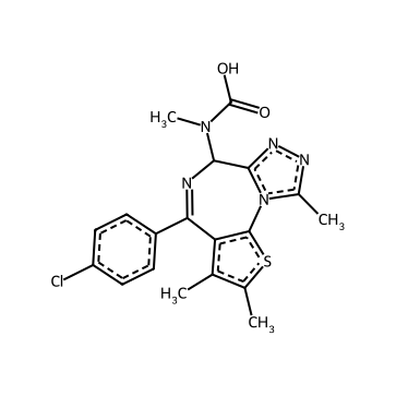 Cc1sc2c(c1C)C(c1ccc(Cl)cc1)=NC(N(C)C(=O)O)c1nnc(C)n1-2